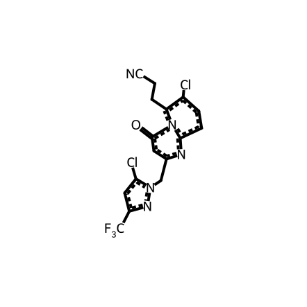 N#CCCc1c(Cl)ccc2nc(Cn3nc(C(F)(F)F)cc3Cl)cc(=O)n12